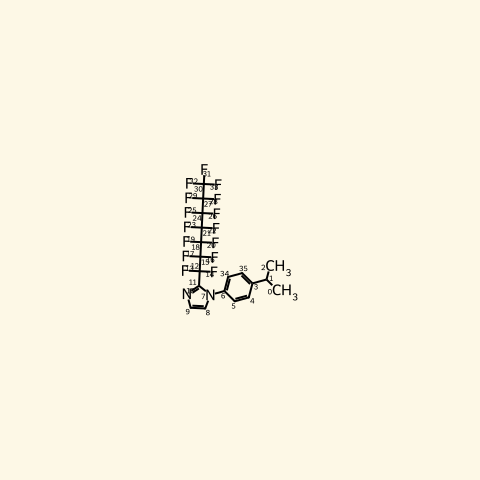 CC(C)c1ccc(-n2ccnc2C(F)(F)C(F)(F)C(F)(F)C(F)(F)C(F)(F)C(F)(F)C(F)(F)F)cc1